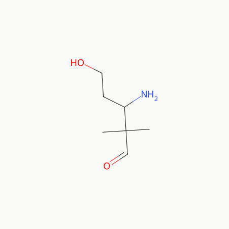 CC(C)(C=O)C(N)CCO